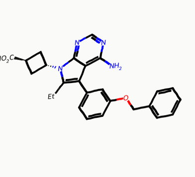 CCc1c(-c2cccc(OCc3ccccc3)c2)c2c(N)ncnc2n1[C@H]1C[C@H](C(=O)O)C1